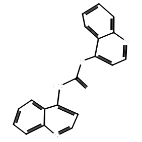 O=C(Nc1ccnc2ccccc12)Nc1ccnc2ccccc12